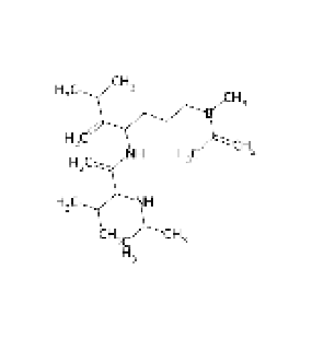 C=C(C)B(C)CCCC(NC(=C)C(NC(C)C)C(C)C)C(=C)C(C)C